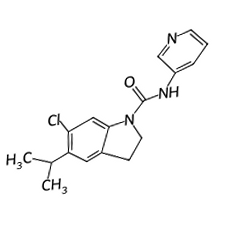 CC(C)c1cc2c(cc1Cl)N(C(=O)Nc1cccnc1)CC2